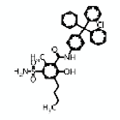 CCCCc1cc(S(N)(=O)=O)c(C)c(C(=O)Nc2ccc(C(c3ccccc3)(c3ccccc3)c3ccccc3Cl)cc2)c1O